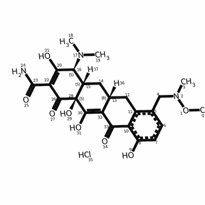 CON(C)Cc1ccc(O)c2c1C[C@H]1C[C@H]3[C@H](N(C)C)C(O)=C(C(N)=O)C(=O)[C@@]3(O)C(O)=C1C2=O.Cl